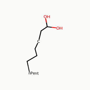 CCCCCCCCCC[C](O)O